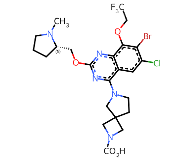 CN1CCC[C@H]1COc1nc(N2CCC3(CN(C(=O)O)C3)C2)c2cc(Cl)c(Br)c(OCC(F)(F)F)c2n1